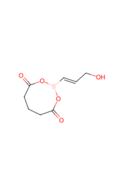 O=C1CCCC(=O)OB(/C=C/CO)O1